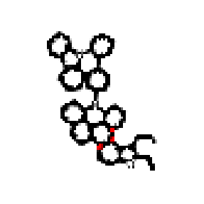 C=Cc1oc2cccc(-c3cccc(N(c4ccc(-c5ccccc5-n5c6ccccc6c6ccccc65)cc4)c4cccc5ccc6ccccc6c45)c3)c2c1/C=C\C